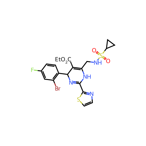 CCOC(=O)C1=C(CNS(=O)(=O)C2CC2)NC(c2nccs2)=NC1c1ccc(F)cc1Br